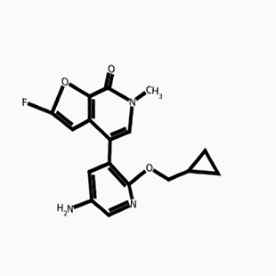 Cn1cc(-c2cc(N)cnc2OCC2CC2)c2cc(F)oc2c1=O